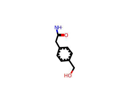 [NH]C(=O)Cc1ccc(CO)cc1